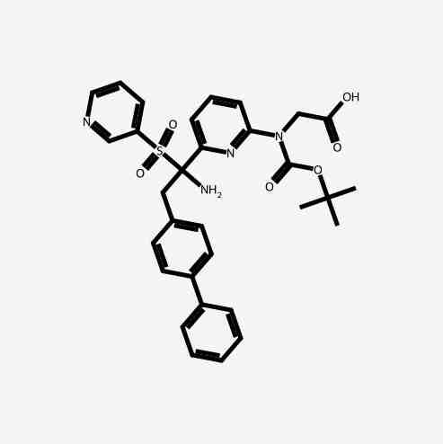 CC(C)(C)OC(=O)N(CC(=O)O)c1cccc(C(N)(Cc2ccc(-c3ccccc3)cc2)S(=O)(=O)c2cccnc2)n1